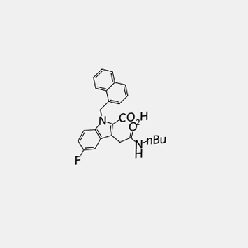 CCCCNC(=O)Cc1c(C(=O)O)n(Cc2cccc3ccccc23)c2ccc(F)cc12